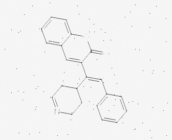 O=c1oc2ccccc2cc1C(=Cc1ccccc1)C1CC=NCC1